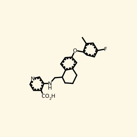 Cc1cc(F)ccc1Oc1ccc2c(c1)CCCC2CNc1cnccc1C(=O)O